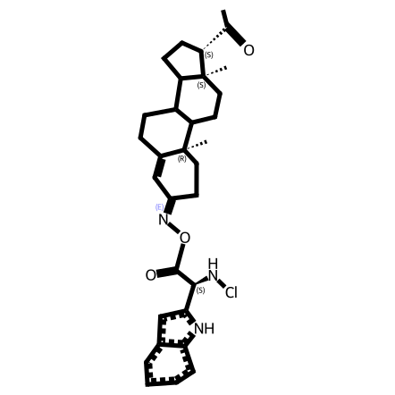 CC(=O)[C@H]1CCC2C3CCC4=C/C(=N/OC(=O)[C@@H](NCl)c5cc6ccccc6[nH]5)CC[C@]4(C)C3CC[C@@]21C